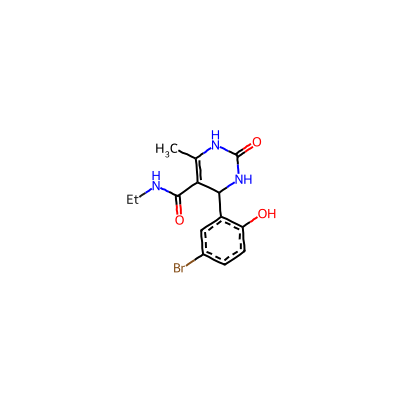 CCNC(=O)C1=C(C)NC(=O)NC1c1cc(Br)ccc1O